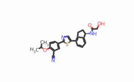 CC(C)Oc1ccc(-c2ncc(-c3cccc4c3CC[C@H]4NC(=O)CO)s2)cc1C#N